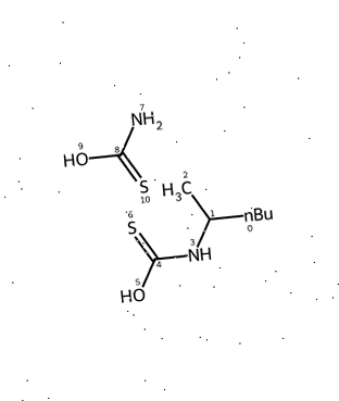 CCCCC(C)NC(O)=S.NC(O)=S